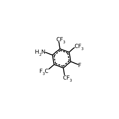 Nc1c(C(F)(F)F)c(C(F)(F)F)c(F)c(C(F)(F)F)c1C(F)(F)F